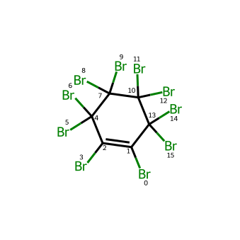 BrC1=C(Br)C(Br)(Br)C(Br)(Br)C(Br)(Br)C1(Br)Br